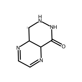 O=C1NN[C]C2N=CC=NC12